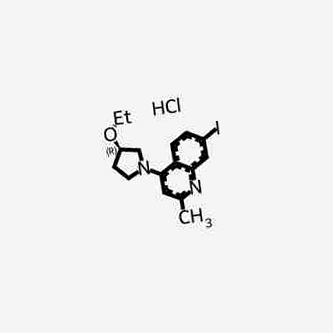 CCO[C@@H]1CCN(c2cc(C)nc3cc(I)ccc23)C1.Cl